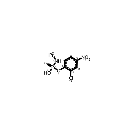 CC(C)NP(O)(=S)Oc1ccc([N+](=O)[O-])cc1Cl